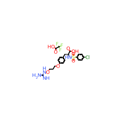 N=C(N)NOCCCOc1ccc(C[C@H](NS(=O)(=O)c2ccc(Cl)cc2)C(=O)O)cc1.O=C(O)C(F)(F)F